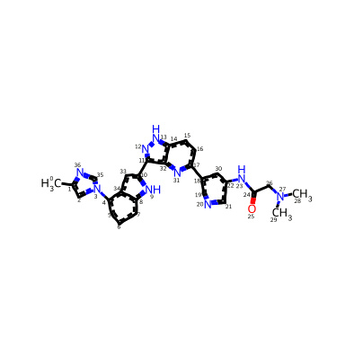 Cc1cn(-c2cccc3[nH]c(-c4n[nH]c5ccc(-c6cncc(NC(=O)CN(C)C)c6)nc45)cc23)cn1